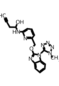 C#CCC(O)Nc1cccc(COc2nc3ccccc3n2-c2nnnn2C)n1